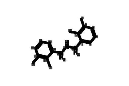 Cc1cccc([SiH2]N[SiH2]c2cccc(C)c2C)c1C